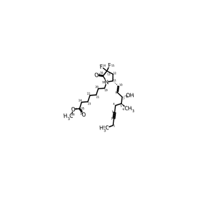 CCC#CC[C@H](C)[C@@H](O)C=C[C@H]1CC(F)(F)C(=O)N1CCCCCCC(=O)OC